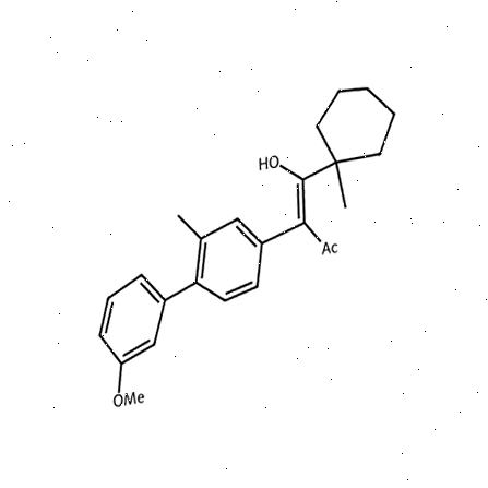 COc1cccc(-c2ccc(/C(C(C)=O)=C(\O)C3(C)CCCCC3)cc2C)c1